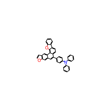 c1ccc(N(c2ccccc2)c2ccc(-c3cc4cc5occc5cc4c4c3ccc3c5ccccc5oc34)cc2)cc1